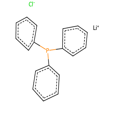 [Cl-].[Li+].c1ccc(P(c2ccccc2)c2ccccc2)cc1